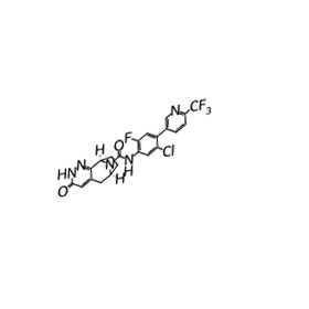 O=C(Nc1cc(Cl)c(-c2ccc(C(F)(F)F)nc2)cc1F)N1[C@H]2CC[C@@H]1c1n[nH]c(=O)cc1C2